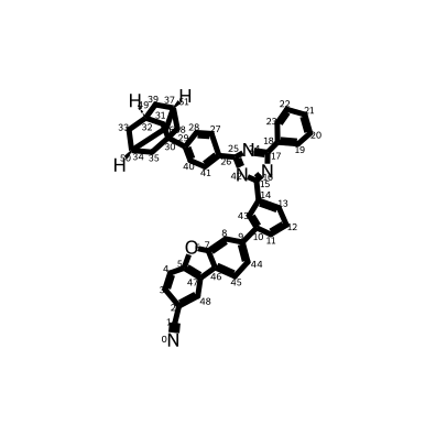 N#Cc1ccc2oc3cc(-c4cccc(-c5nc(-c6ccccc6)nc(-c6ccc(C78C[C@H]9C[C@@H](C7)C[C@@H](C8)C9)cc6)n5)c4)ccc3c2c1